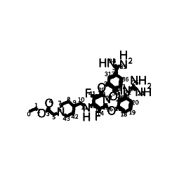 CCOC(=O)CN1CCC(CNc2c(F)c(Oc3cccc(NC(=N)N)c3)nc(Oc3cc(C(=N)N)ccc3O)c2F)CC1